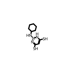 SC1=CC(S)=NN(NC2CCCCC2)N1